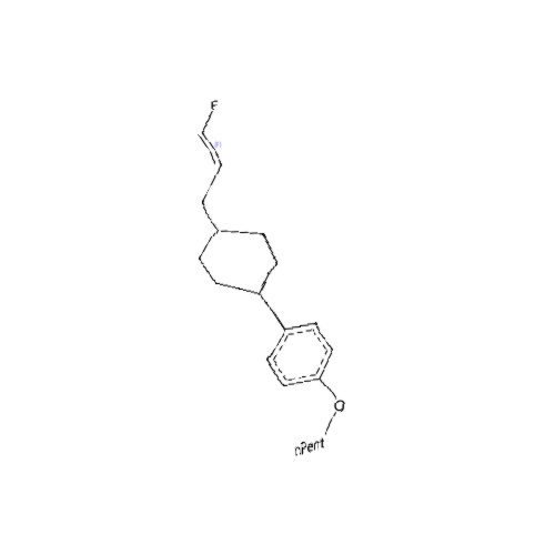 CCCCCOc1ccc(C2CCC(C/C=C/F)CC2)cc1